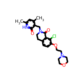 Cc1cc(C)c(CN2CCc3ccc(OCCN4CCOCC4)c(Cl)c3C2=O)c(=O)[nH]1